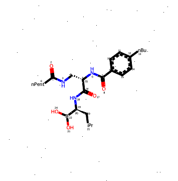 CCCCCC(=O)NC[C@H](NC(=O)c1ccc(CCCC)cc1)C(=O)N[C@@H](CC(C)C)B(O)O